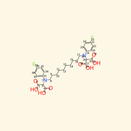 O=C(O)C(C(=O)O)N(CCCCCCCCCCN(c1ccc(F)cc1)C(C(=O)O)C(=O)O)c1ccc(F)cc1